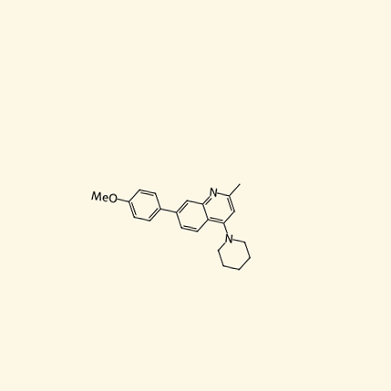 COc1ccc(-c2ccc3c(N4CCCCC4)cc(C)nc3c2)cc1